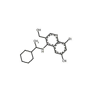 CCc1cc(C#N)cc2c(NC(C)C3CCCCC3)c(CO)cnc12